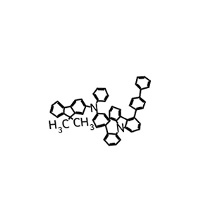 CC1(C)c2ccccc2-c2ccc(N(c3ccccc3)c3ccc(-c4ccccc4-n4c5ccccc5c5c(-c6ccc(-c7ccccc7)cc6)cccc54)cc3)cc21